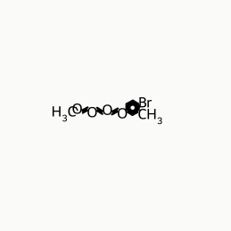 COCCOCCOCCOc1ccc(Br)c(C)c1